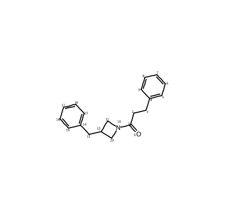 O=C(CCc1ccccc1)N1CC(Cc2ccccc2)C1